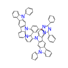 c1ccc(-c2nc(-c3ccccc3)nc(-c3ccc(-n4c5ccccc5c5cc6c7ccccc7n(-c7ccccc7)c6cc54)c(-c4ncccc4-n4c5ccccc5c5cc6c7ccccc7n(-c7ccccc7)c6cc54)c3)n2)cc1